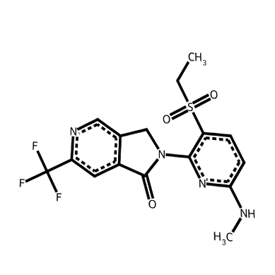 CCS(=O)(=O)c1ccc(NC)nc1N1Cc2cnc(C(F)(F)F)cc2C1=O